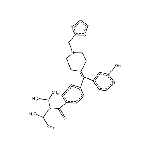 CC(C)N(C(=O)c1ccc(C(=C2CCN(Cc3nccs3)CC2)c2cccc(O)c2)cc1)C(C)C